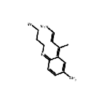 CN/C=C/C(C)=C1/C=C(N)C=C/C1=N/CCCC(C)C